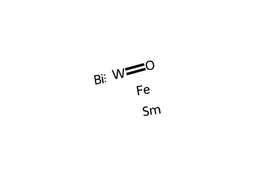 [Bi].[Fe].[O]=[W].[Sm]